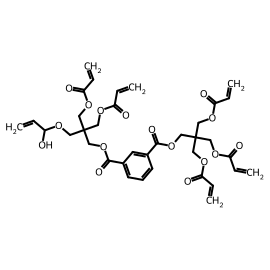 C=CC(=O)OCC(COC(=O)C=C)(COC(=O)C=C)COC(=O)c1cccc(C(=O)OCC(COC(=O)C=C)(COC(=O)C=C)COC(O)C=C)c1